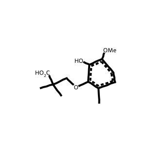 COc1ccc(C)c(OCC(C)(C)C(=O)O)c1O